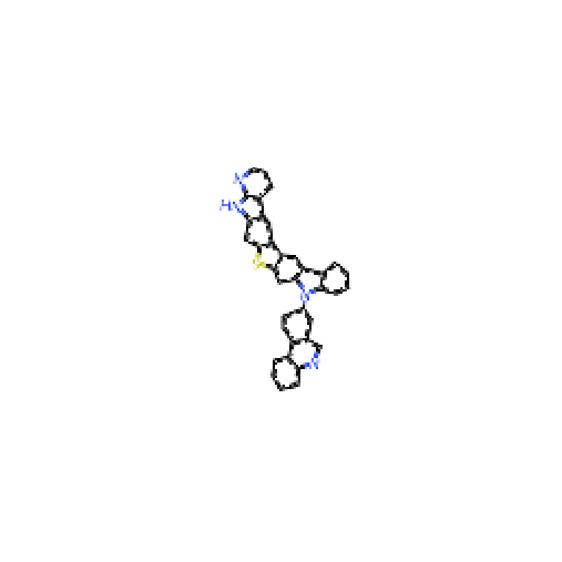 c1ccc2c(c1)ncc1cc(-n3c4ccccc4c4cc5c(cc43)sc3cc4[nH]c6ncccc6c4cc35)ccc12